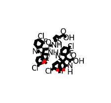 CC(C)(C)CC1NC(C(=O)O)C(c2cccc(Cl)c2F)C1(C#N)c1ccc(Cl)cc1F.CC(C)(C)C[C@@H]1N[C@@H](C(=O)Nc2ccc(C(=O)O)s2)[C@H](c2cccc(Cl)c2F)[C@@]1(C#N)c1ccc(Cl)cc1F